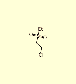 [CH2]CS(=O)(=O)CCCl